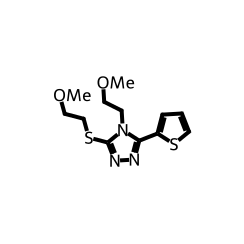 COCCSc1nnc(-c2cccs2)n1CCOC